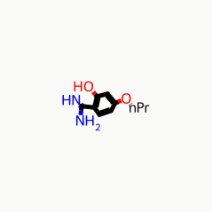 CCCOc1ccc(C(=N)N)c(O)c1